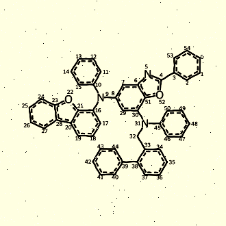 c1ccc(-c2nc3cc(N(c4ccccc4)c4cccc5c4oc4ccccc45)cc(N(Cc4ccccc4-c4ccccc4)c4ccccc4)c3o2)cc1